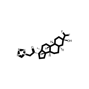 C[C@]12CC[C@H]3[C@@H](CC[C@@H]4C[C@@](O)(C(F)F)CC[C@@H]43)[C@@H]1CC[C@@H]2C(=O)Cn1cnnn1